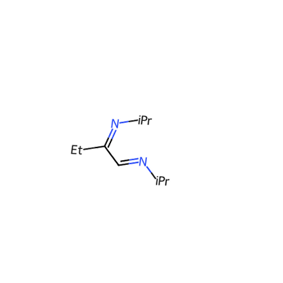 CCC(C=NC(C)C)=NC(C)C